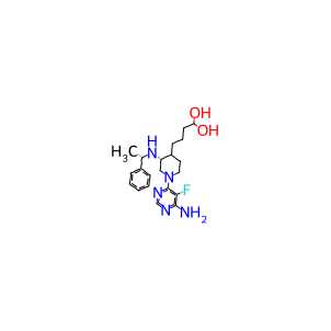 C[C@H](N[C@H]1CN(c2ncnc(N)c2F)CCC1CCCC(O)O)c1ccccc1